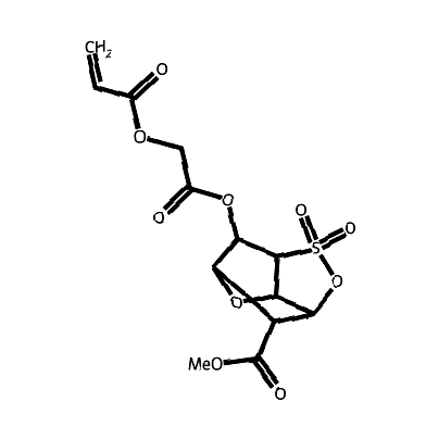 C=CC(=O)OCC(=O)OC1C2OC3C(OS(=O)(=O)C13)C2C(=O)OC